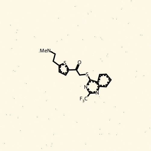 CNCCc1ccc(C(=O)CSc2nc(C(F)(F)F)nc3ccccc23)s1